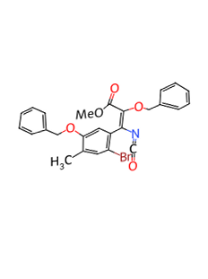 COC(=O)C(OCc1ccccc1)=C(N=C=O)c1cc(OCc2ccccc2)c(C)cc1Br